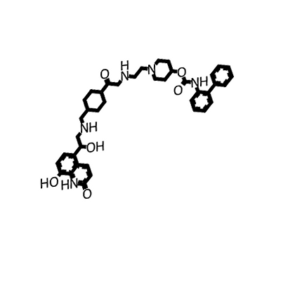 O=C(Nc1ccccc1-c1ccccc1)OC1CCN(CCNCC(=O)C2CCC(CNCC(O)c3ccc(O)c4[nH]c(=O)ccc34)CC2)CC1